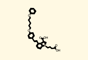 O=C(O)CCCn1cc(C(=O)O)c2c(C=Cc3ccc(OCCCCCOc4ccccc4)cc3)cccc21